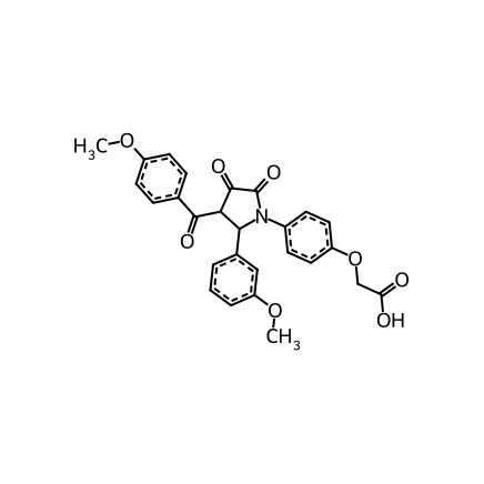 COc1ccc(C(=O)C2C(=O)C(=O)N(c3ccc(OCC(=O)O)cc3)C2c2cccc(OC)c2)cc1